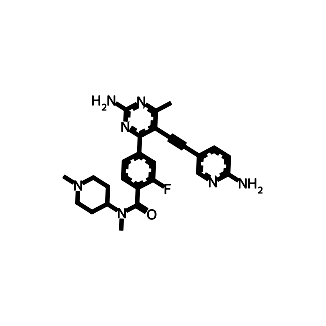 Cc1nc(N)nc(-c2ccc(C(=O)N(C)C3CCN(C)CC3)c(F)c2)c1C#Cc1ccc(N)nc1